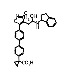 Cc1noc(-c2ccc(-c3ccc(C4(C(=O)O)CC4)cc3)cc2)c1CC(O)N[C@H]1CCc2ccccc21